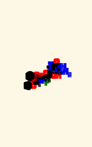 C[C@@H](NP(=O)(OC[C@H]1O[C@@H](n2cnc3c(=O)[nH]c(N)nc32)[C@H](O)[C@@H]1CF)Oc1ccccc1)C(=O)OC1CCCC1